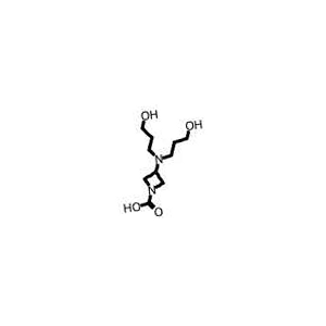 O=C(O)N1CC(N(CCCO)CCCO)C1